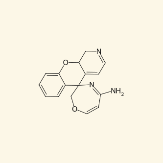 NC1=NC2(COC=C1)C1=CC=NCC1Oc1ccccc12